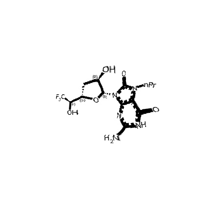 CCCn1c(=O)n([C@@H]2O[C@H]([C@@H](O)C(F)(F)F)C[C@H]2O)c2nc(N)[nH]c(=O)c21